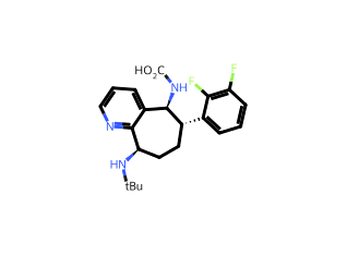 CC(C)(C)N[C@@H]1CC[C@@H](c2cccc(F)c2F)[C@H](NC(=O)O)c2cccnc21